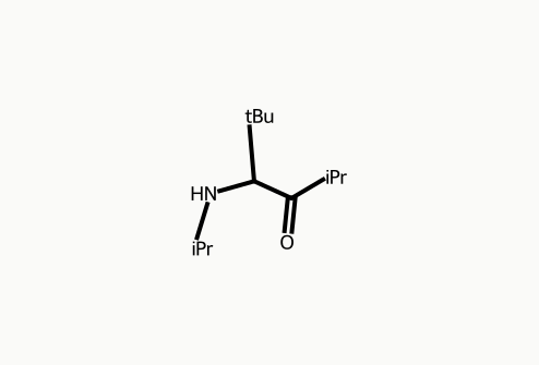 CC(C)NC(C(=O)C(C)C)C(C)(C)C